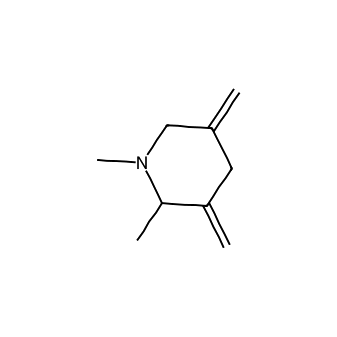 C=C1CC(=C)C(C)N(C)C1